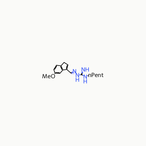 CCCCCNC(=N)N/N=C/C1=CCc2ccc(OC)cc21